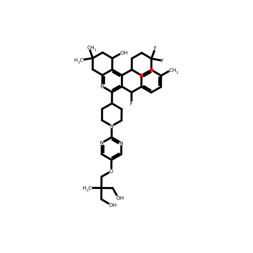 Cc1ccc(C(F)c2c(C3CCN(c4ncc(OCC(C)(CO)CO)cn4)CC3)nc3c(c2C2CCC(F)(F)CC2)C(O)CC(C)(C)C3)cc1